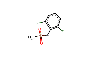 CS(=O)(=O)[CH]c1c(F)cccc1F